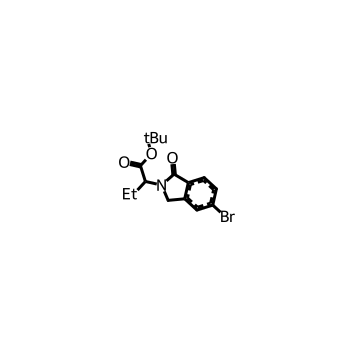 CCC(C(=O)OC(C)(C)C)N1Cc2cc(Br)ccc2C1=O